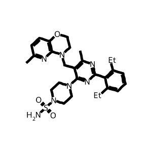 CCc1cccc(CC)c1-c1nc(C)c(CN2CCOc3ccc(C)nc32)c(N2CCN(S(N)(=O)=O)CC2)n1